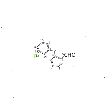 O=Cc1ccccc1Cc1cccc(F)c1